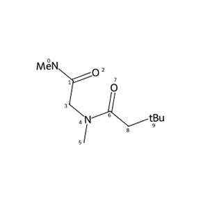 CNC(=O)CN(C)C(=O)CC(C)(C)C